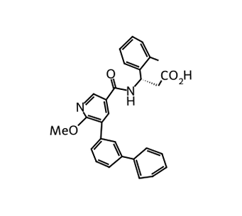 COc1ncc(C(=O)N[C@@H](CC(=O)O)c2ccccc2C)cc1-c1cccc(-c2ccccc2)c1